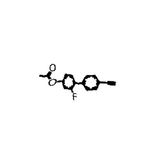 C#Cc1ccc(-c2ccc(OC(C)=O)cc2F)cc1